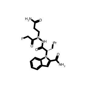 CC(C)C[C@@H](C(=O)NN(CCC(N)=O)C(=O)CF)n1c(C(N)=O)cc2ccccc21